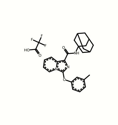 Cc1cccc(Oc2nc(C(=O)NC34CC5CC(CC(C5)C3)C4)c3ccccn23)c1.O=C(O)C(F)(F)F